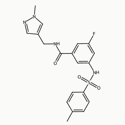 Cc1ccc(S(=O)(=O)Nc2cc(F)cc(C(=O)NCc3cnn(C)c3)c2)cc1